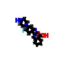 O=C(O)c1ccccc1CNc1ccc(N2CCNCC2)c(F)c1